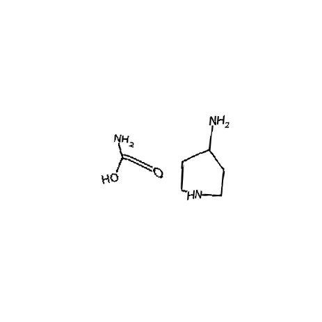 NC(=O)O.NC1CCNCC1